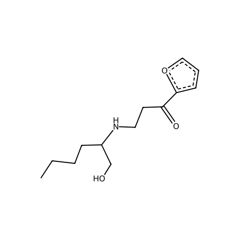 CCCCC(CO)NCCC(=O)c1ccco1